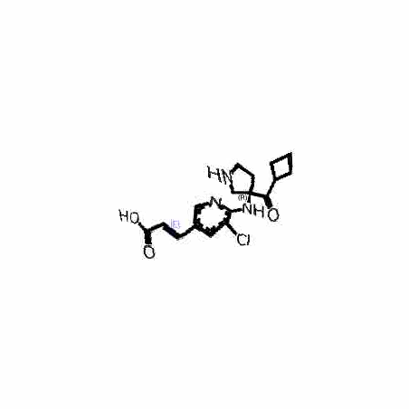 O=C(O)/C=C/c1cnc(N[C@]2(C(=O)C3CCC3)CCNC2)c(Cl)c1